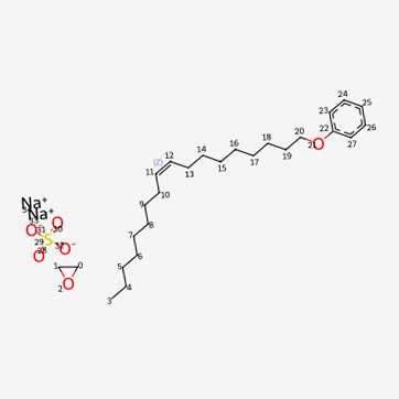 C1CO1.CCCCCCCC/C=C\CCCCCCCCOc1ccccc1.O=S(=O)([O-])[O-].[Na+].[Na+]